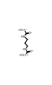 CCCCCCCCC(=O)NCCCNC(=O)CCCCCCCC